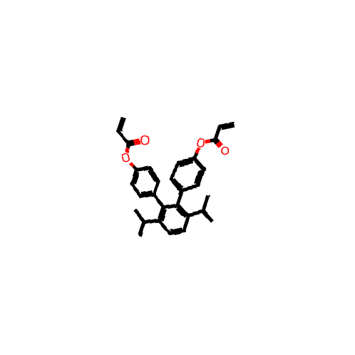 C=CC(=O)Oc1ccc(-c2c(C(C)C)ccc(C(C)C)c2-c2ccc(OC(=O)C=C)cc2)cc1